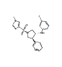 Cn1cnc(S(=O)(=O)N2C[C@H](Nc3cccc(F)c3)[C@@H](c3ccccc3)C2)c1